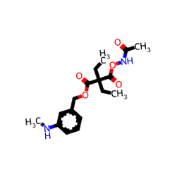 CCC(CC)(C(=O)OCc1cccc(NC)c1)C(=O)ONC(C)=O